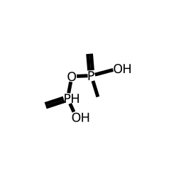 C=[PH](O)OP(=C)(C)O